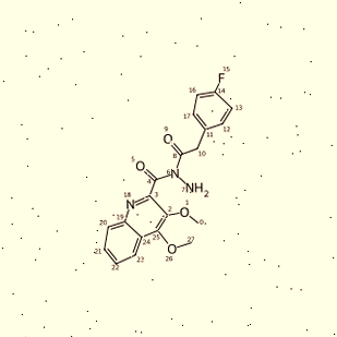 COc1c(C(=O)N(N)C(=O)Cc2ccc(F)cc2)nc2ccccc2c1OC